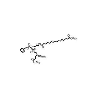 CCCCCCCCCC(CCC(=O)N[C@@H](CCCCNC(=O)CCCCCCCCCCCCCCC(=O)OC)C(=O)OCc1ccccc1)CCC(=O)OC